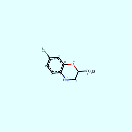 CCOC(=O)C1CNc2ccc(Cl)cc2O1